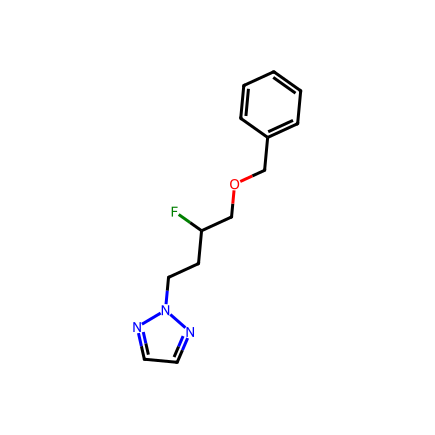 FC(CCn1nccn1)COCc1ccccc1